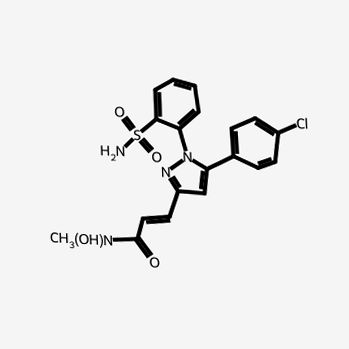 CN(O)C(=O)C=Cc1cc(-c2ccc(Cl)cc2)n(-c2ccccc2S(N)(=O)=O)n1